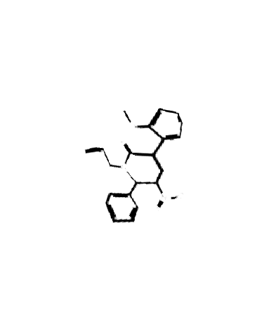 C=CCN1C(=O)C(c2ccccc2OC)CC([N+](=O)[O-])C1c1ccccc1